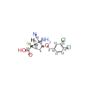 N#C[C@@]1(N)[C@H]2C(C[C@H]1OCc1ccc(Cl)c(Cl)c1)[C@]2(F)C(=O)O